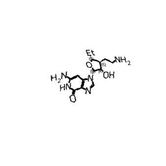 CC[C@H]1O[C@@H](n2cnc3c(=O)[nH]c(N)cc32)[C@H](O)[C@@H]1CCN